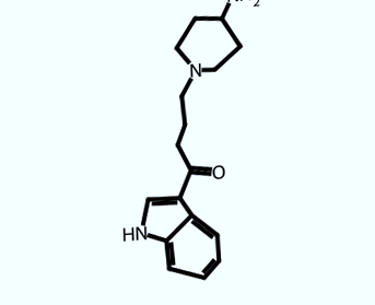 NC1CCN(CCCC(=O)c2c[nH]c3ccccc23)CC1